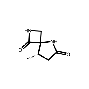 C[C@H]1CC(=O)NC12CNC2=O